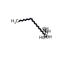 CCCCCCCC/C=C\CCCCCCCCCC(CC(=O)N(O)O)N(O)O